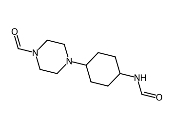 O=CNC1CCC(N2CCN(C=O)CC2)CC1